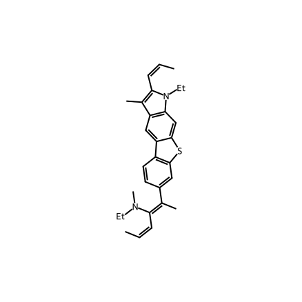 C/C=C\C(=C(/C)c1ccc2c(c1)sc1cc3c(cc12)c(C)c(/C=C\C)n3CC)N(C)CC